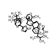 CC(C)[C@@H](C)[C@@]1(C)CC[C@]2(C)[C@H]3CC[C@H]4[C@@]5(C)CO[C@@H](C)[C@@]4(C[C@@H](n4ncnc4-c4ccncn4)[C@@H]5OC[C@](C)(N)C(C)(C)C)C3=CC[C@@]2(C)[C@@H]1C(=O)O